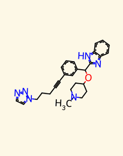 CN1CCC(OC(c2cccc(C#CCCCn3ccnn3)c2)c2nc3ccccc3[nH]2)CC1